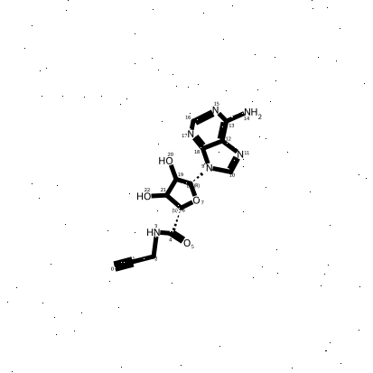 C#CCNC(=O)[C@H]1O[C@@H](n2cnc3c(N)ncnc32)C(O)C1O